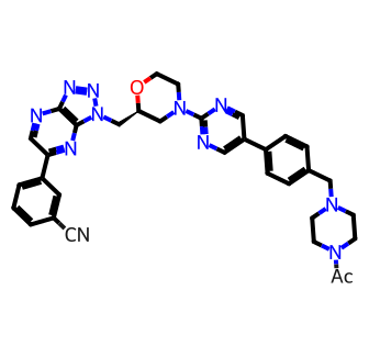 CC(=O)N1CCN(Cc2ccc(-c3cnc(N4CCO[C@H](Cn5nnc6ncc(-c7cccc(C#N)c7)nc65)C4)nc3)cc2)CC1